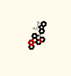 CC1(C)c2ccccc2-c2ccc(N(c3ccccc3)c3cccc(-c4ccccc4)c3-c3ccccc3-c3cccc4ccccc34)cc21